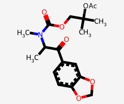 CC(=O)OC(C)(C)COC(=O)N(C)C(C)C(=O)c1ccc2c(c1)OCO2